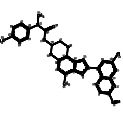 COc1cnc2c(-c3nc4c(C)cc5c(c4s3)OCC(OC(=O)N(C)c3ccc(C)nc3)O5)cc(Cl)cc2n1